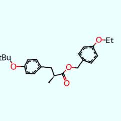 CCOc1ccc(COC(=O)[C@@H](C)Cc2ccc(OC(C)(C)C)cc2)cc1